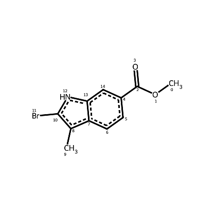 COC(=O)c1ccc2c(C)c(Br)[nH]c2c1